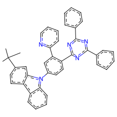 CC(C)(C)c1ccc2c3ccccc3n(-c3ccc(-c4nc(-c5ccccc5)nc(-c5ccccc5)n4)c(-c4ccccn4)c3)c2c1